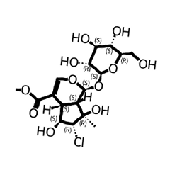 COC(=O)C1=CO[C@@H](O[C@@H]2O[C@H](CO)[C@@H](O)[C@H](O)[C@H]2O)[C@H]2[C@@H]1[C@H](O)[C@@H](Cl)[C@]2(C)O